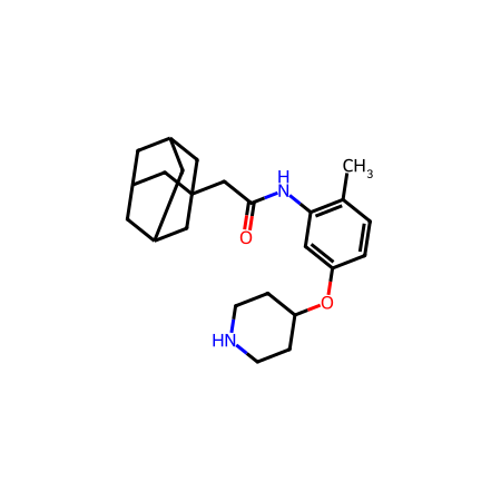 Cc1ccc(OC2CCNCC2)cc1NC(=O)CC12CC3CC(CC(C3)C1)C2